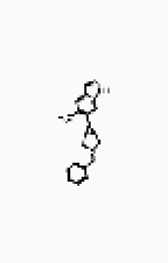 Cc1cc2cn[nH]c2cc1C1C2CN(Cc3ccccc3)CC21